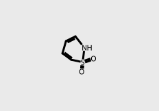 O=S1(=O)C=CC=CN1